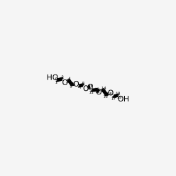 OCCOCCOCCOOCCOCCOCCO